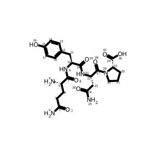 NC(=O)CC[C@H](N)C(=O)N[C@@H](Cc1ccc(O)cc1)C(=O)N[C@@H](CC(N)=O)C(=O)N1CCC[C@H]1C(=O)O